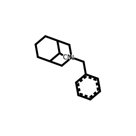 N#CC1C2CCCC1CN(Cc1ccccc1)C2